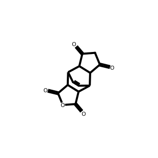 O=C1CC(=O)C2C3C=CC(C12)C1C(=O)OC(=O)C31